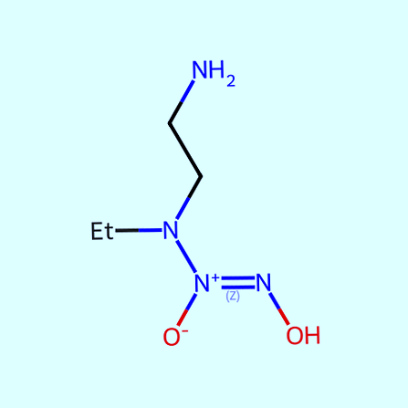 CCN(CCN)/[N+]([O-])=N/O